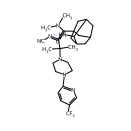 CN(C)C(=O)C12CC3CC(C1)C(N/C(=N/C#N)C(C)(C)N1CCN(c4ccc(C(F)(F)F)cn4)CC1)C(C3)C2